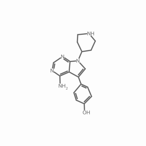 Nc1ncnc2c1c(-c1ccc(O)cc1)cn2C1CCNCC1